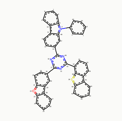 c1ccc(-n2c3ccccc3c3ccc(-c4nc(-c5ccc6oc7ccccc7c6c5)nc(-c5cccc6c5sc5ccccc56)n4)cc32)cc1